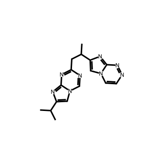 CC(C)c1cn2cnc(CC(C)c3cn4ccnnc4n3)nc2n1